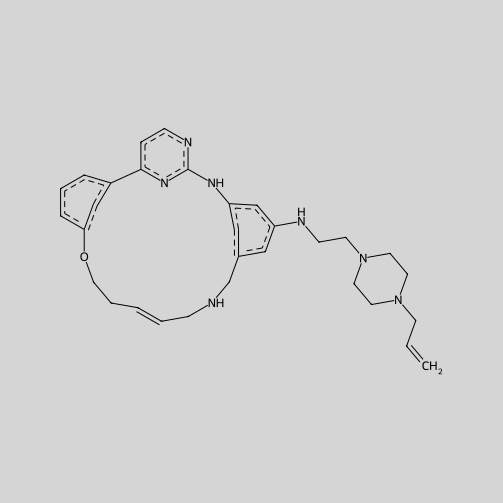 C=CCN1CCN(CCNc2cc3cc(c2)Nc2nccc(n2)-c2cccc(c2)OCC/C=C/CNC3)CC1